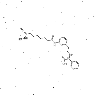 C=C=C(CCCCCCC(=O)Nc1cccc(CCN[C@H](C(=C)O)c2ccccc2)c1)NO